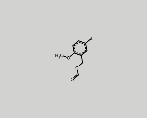 COc1ccc(I)cc1COC=O